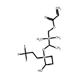 C=CC(=O)OC[Si](C)(C)C(C)O[Si]1(CCC(F)(F)F)CCC1O